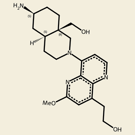 COc1cc(CCO)c2nccc(N3CC[C@H]4C[C@@H](N)CC[C@]4(CO)C3)c2n1